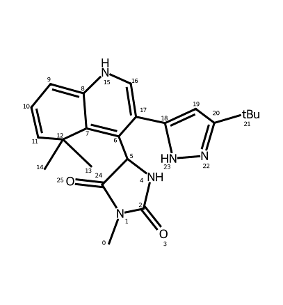 CN1C(=O)NC(C2=C3C(=CC=CC3(C)C)NC=C2c2cc(C(C)(C)C)n[nH]2)C1=O